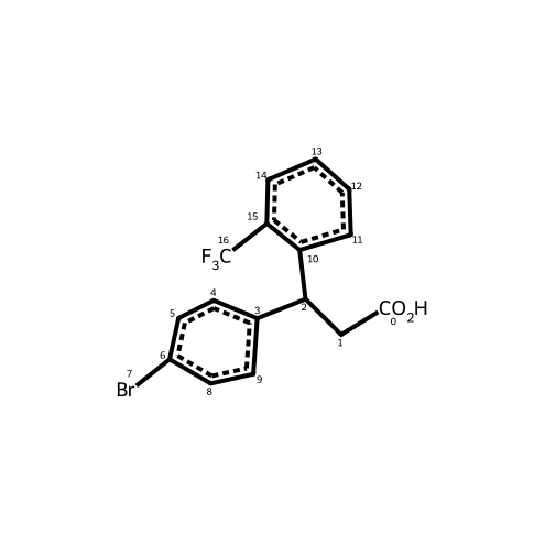 O=C(O)CC(c1ccc(Br)cc1)c1ccccc1C(F)(F)F